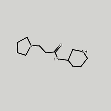 O=C(CCN1CCCC1)NC1CCCNC1